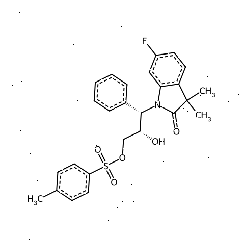 Cc1ccc(S(=O)(=O)OC[C@@H](O)[C@H](c2ccccc2)N2C(=O)C(C)(C)c3ccc(F)cc32)cc1